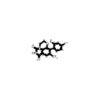 O=c1[nH]c(=O)n2c3c(c(-c4ccc(F)cc4F)c(C(F)(F)F)cc13)OCC2